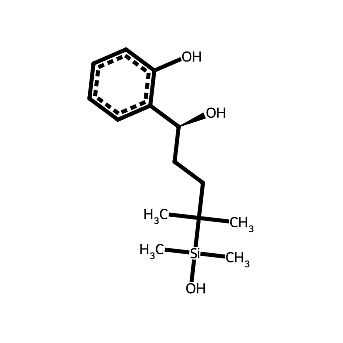 CC(C)(CC[C@H](O)c1ccccc1O)[Si](C)(C)O